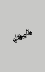 CNC(CCC(=O)OC)[C@H]1CCC2C3CC[C@H]4CC(NCc5ccccn5)CC[C@]4(C)C3C[C@H](O)[C@@]21C